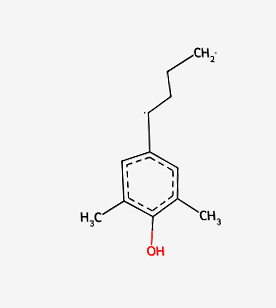 [CH2]CC[CH]c1cc(C)c(O)c(C)c1